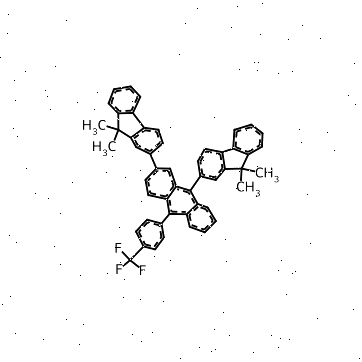 CC1(C)c2ccccc2-c2ccc(-c3ccc4c(-c5ccc(C(F)(F)F)cc5)c5ccccc5c(-c5ccc6c(c5)C(C)(C)c5ccccc5-6)c4c3)cc21